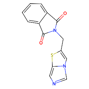 O=C1c2ccccc2C(=O)N1Cc1cn2cncc2s1